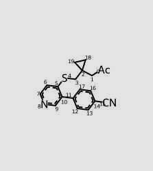 CC(=O)CC1(CSc2ccncc2-c2ccc(C#N)cc2)CC1